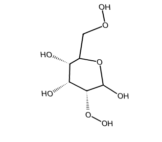 OOCC1OC(O)[C@H](OO)[C@H](O)[C@@H]1O